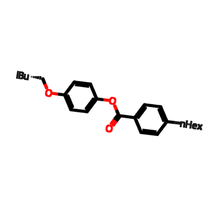 CCCCCCc1ccc(C(=O)Oc2ccc(OC[C@@H](C)CC)cc2)cc1